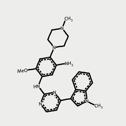 COc1cc(N2CCN(C)CC2)c(N)cc1Nc1nccc(-c2cn(C)c3ccccc23)n1